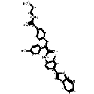 CC(C)(C)c1ccc(C(Cc2ccc(C(=O)NCCS(=O)(=O)O)cc2)C(=O)Nc2ccc(-c3cc4ccccc4o3)cc2F)cc1